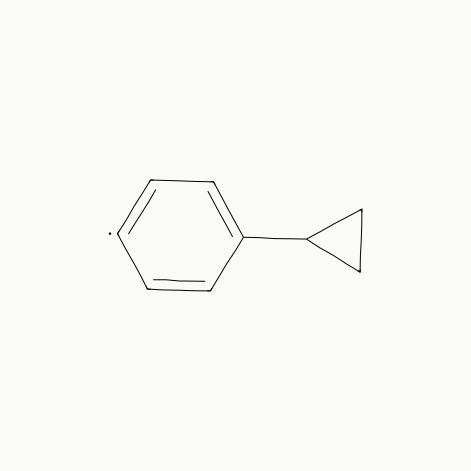 [c]1ccc(C2CC2)cc1